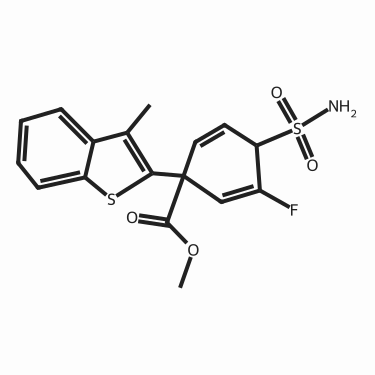 COC(=O)C1(c2sc3ccccc3c2C)C=CC(S(N)(=O)=O)C(F)=C1